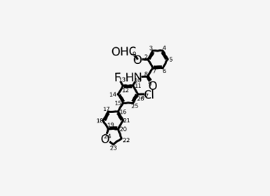 O=COc1ccccc1C(=O)Nc1c(F)cc(-c2ccc3c(c2)CCO3)cc1Cl